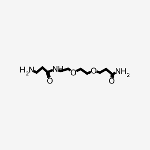 NCCC(=O)NCCOCCOCCC(N)=O